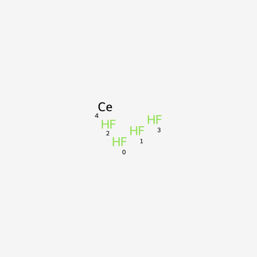 F.F.F.F.[Ce]